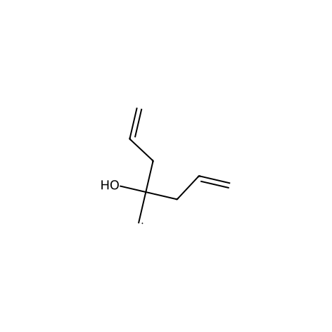 [CH2]C(O)(CC=C)CC=C